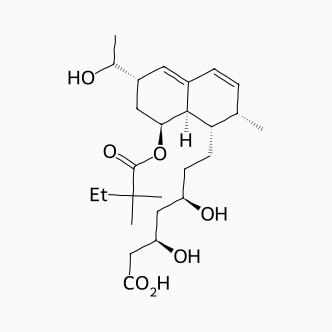 CCC(C)(C)C(=O)O[C@H]1C[C@H](C(C)O)C=C2C=C[C@H](C)[C@H](CC[C@@H](O)C[C@@H](O)CC(=O)O)[C@H]21